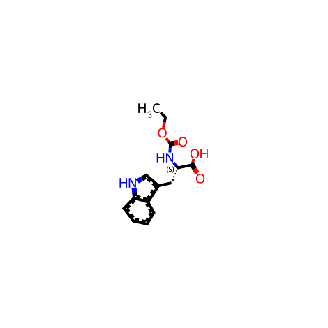 CCOC(=O)N[C@@H](Cc1c[nH]c2ccccc12)C(=O)O